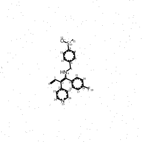 C=C/C(=C(\NCc1ccc([S@+](C)[O-])cc1)c1ccc(F)cc1)c1ccncc1